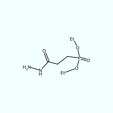 CCOP(=O)(CCC(=O)NN)OCC